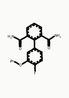 CC(C)Oc1cc(-c2c(C(N)=O)cccc2C(N)=O)ccc1F